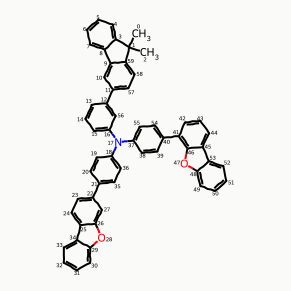 CC1(C)c2ccccc2-c2cc(-c3cccc(N(c4ccc(-c5ccc6c(c5)oc5ccccc56)cc4)c4ccc(-c5cccc6c5oc5ccccc56)cc4)c3)ccc21